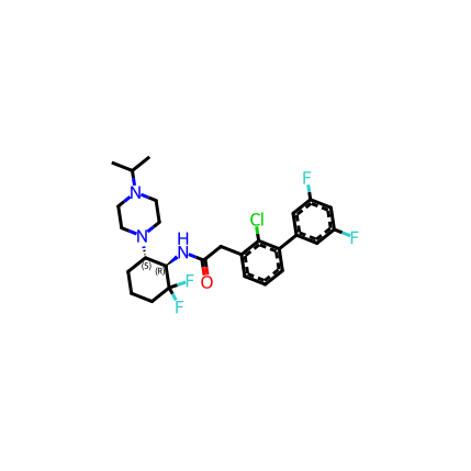 CC(C)N1CCN([C@H]2CCCC(F)(F)[C@@H]2NC(=O)Cc2cccc(-c3cc(F)cc(F)c3)c2Cl)CC1